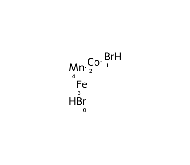 Br.Br.[Co].[Fe].[Mn]